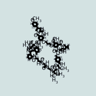 COc1ccc(C2=CN3C(=O)c4cc(OC)c(OCCCOc5cc6c(cc5OC)C(=O)N5CC7(CC7)C[C@H]5[C@H](O)N6C(=O)OCc5ccc(NC(=O)[C@H](C)NC(=O)[C@@H](NC(=O)CNC(=O)CNC(=O)CCC(=O)N6Cc7ccccc7-c7c(nnn7C(C)(C)C(C)C)-c7ccccc76)C(C)C)cc5)cc4NC[C@@H]3C2)cc1